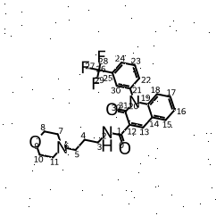 O=C(NCCCN1CCOCC1)c1cc2ccccc2n(-c2cccc(C(F)(F)F)c2)c1=O